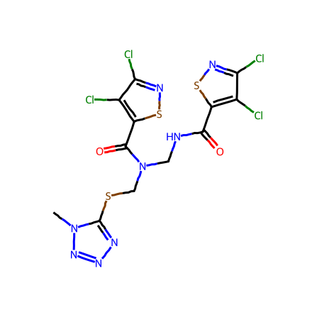 Cn1nnnc1SCN(CNC(=O)c1snc(Cl)c1Cl)C(=O)c1snc(Cl)c1Cl